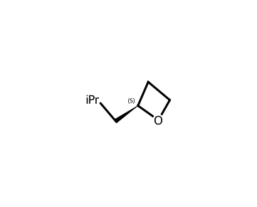 CC(C)C[C@H]1CCO1